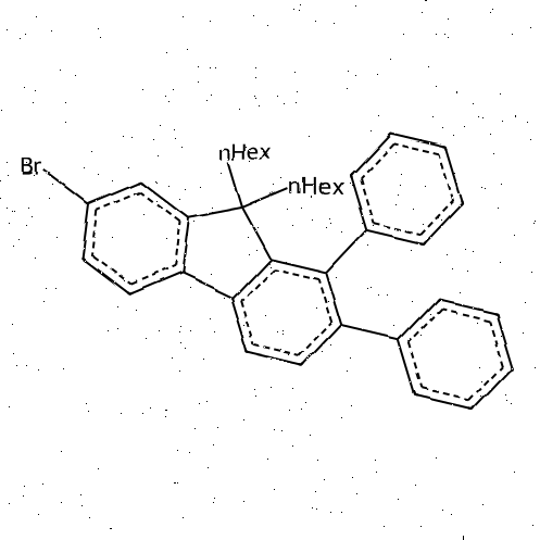 CCCCCCC1(CCCCCC)c2cc(Br)ccc2-c2ccc(-c3ccccc3)c(-c3ccccc3)c21